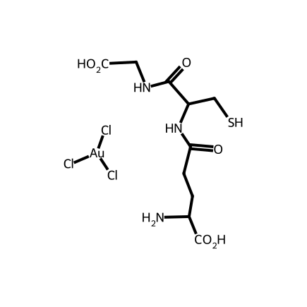 NC(CCC(=O)NC(CS)C(=O)NCC(=O)O)C(=O)O.[Cl][Au]([Cl])[Cl]